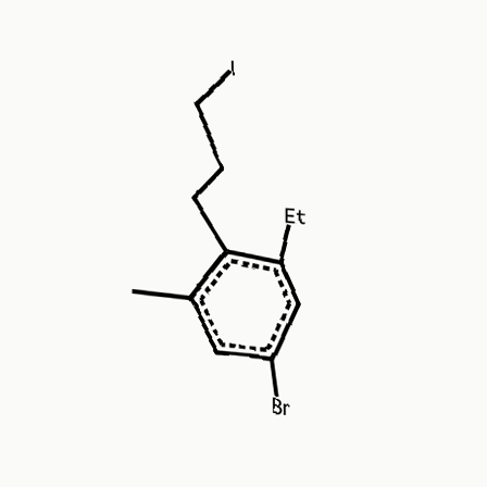 CCc1cc(Br)cc(C)c1CCCI